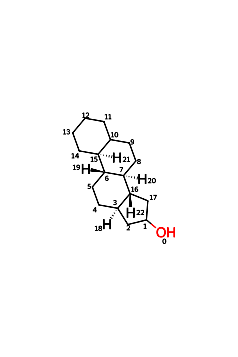 OC1C[C@H]2CC[C@H]3[C@@H](CCC4CCCC[C@@H]43)[C@@H]2C1